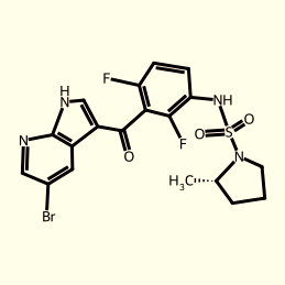 C[C@H]1CCCN1S(=O)(=O)Nc1ccc(F)c(C(=O)c2c[nH]c3ncc(Br)cc23)c1F